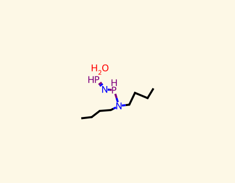 CCCCN(CCCC)PN=P.O